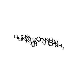 CNc1nccc(-c2cccnc2Oc2ccc(CC(=O)Nc3cccc(C(N)=O)c3)cc2)n1